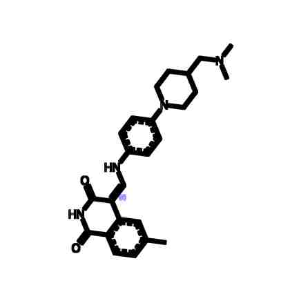 Cc1ccc2c(c1)/C(=C/Nc1ccc(N3CCC(CN(C)C)CC3)cc1)C(=O)NC2=O